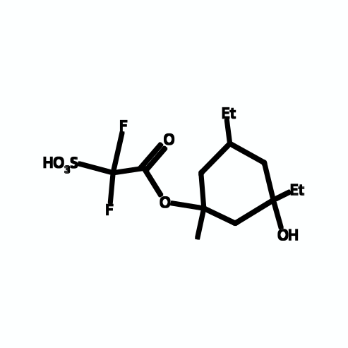 CCC1CC(O)(CC)CC(C)(OC(=O)C(F)(F)S(=O)(=O)O)C1